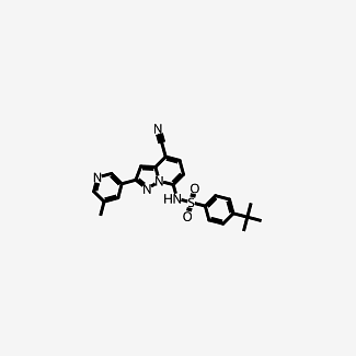 Cc1cncc(-c2cc3c(C#N)ccc(NS(=O)(=O)c4ccc(C(C)(C)C)cc4)n3n2)c1